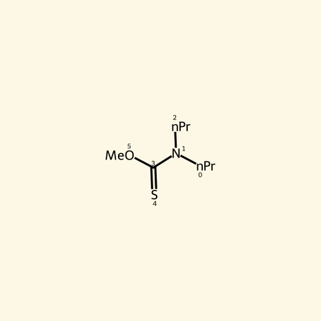 CCCN(CCC)C(=S)OC